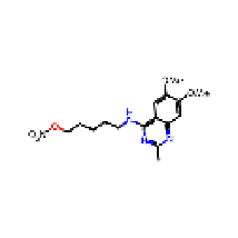 COc1cc2nc(C)nc(NCCCCCO[N+](=O)[O-])c2cc1OC